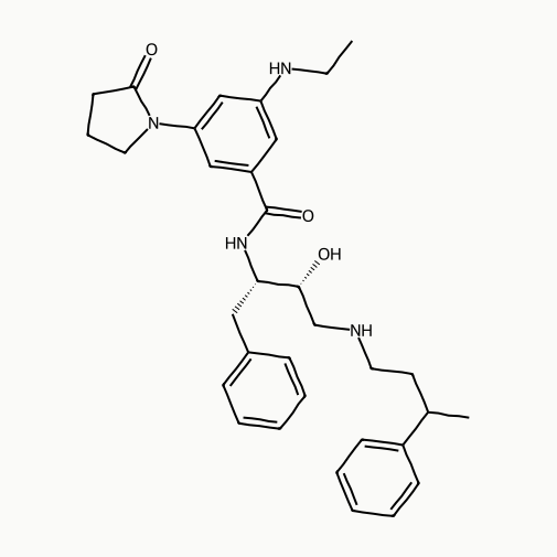 CCNc1cc(C(=O)N[C@@H](Cc2ccccc2)[C@H](O)CNCCC(C)c2ccccc2)cc(N2CCCC2=O)c1